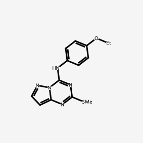 CCOc1ccc(Nc2nc(SC)nc3ccnn23)cc1